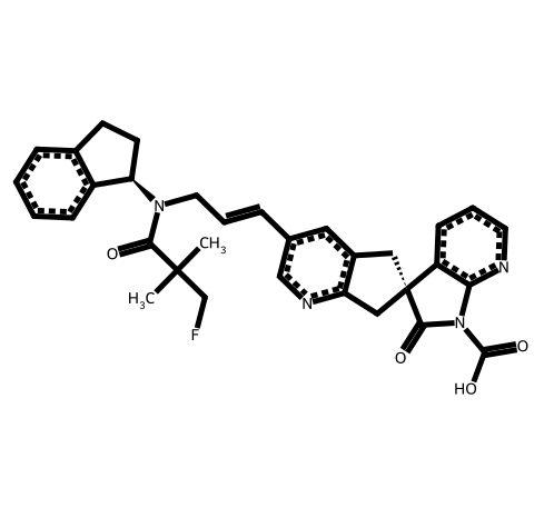 CC(C)(CF)C(=O)N(C/C=C/c1cnc2c(c1)C[C@@]1(C2)C(=O)N(C(=O)O)c2ncccc21)[C@@H]1CCc2ccccc21